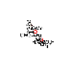 COc1ccc(-c2cccs2)c(OC)c1C(=O)Cc1ccc(OC(C)(C)C(=O)O)cc1